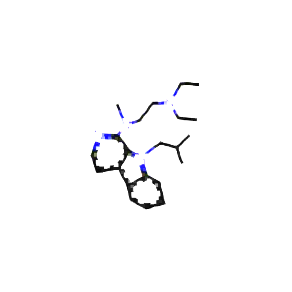 CCN(CC)CCN(C)c1nccc2c3ccccc3n(CC(C)C)c12